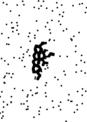 C=CC[C@@H](OC)[C@@H](C(C)C)S(=O)(=O)N(Cc1ccc(OC)cc1)Cc1ccc(OC)cc1